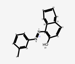 Cc1cccc(/N=N/c2c(O)ccc3ccccc23)c1